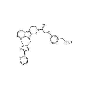 Cc1nc(-c2ccccc2)sc1Cn1c2c(c3cccnc31)CCN(C(=O)COc1cccc(CC(=O)O)c1)C2